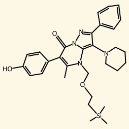 Cc1c(-c2ccc(O)cc2)c(=O)n2nc(-c3ccccc3)c(N3CCCCC3)c2n1COCC[Si](C)(C)C